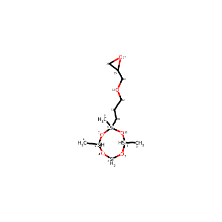 C[SiH]1O[SiH2]O[SiH](C)O[Si](C)(CCCOCC2CO2)O1